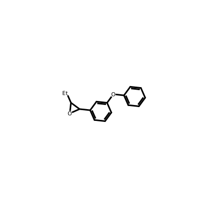 CCC1OC1c1cccc(Oc2ccccc2)c1